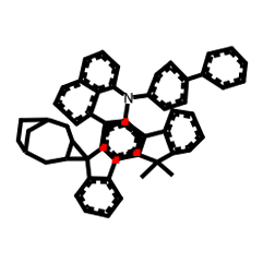 CC1(C)c2ccccc2-c2c(N(c3ccc(-c4ccccc4)cc3)c3cccc4cccc(-c5cccc6c5C5(c7ccccc7-6)C6CC7CCC(C7)CC65)c34)cccc21